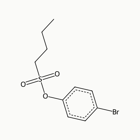 CCCCS(=O)(=O)Oc1ccc(Br)cc1